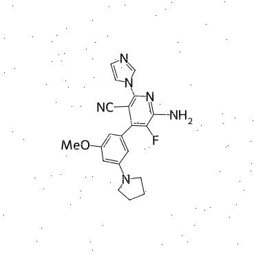 COc1cc(-c2c(F)c(N)nc(-n3ccnc3)c2C#N)cc(N2CCCC2)c1